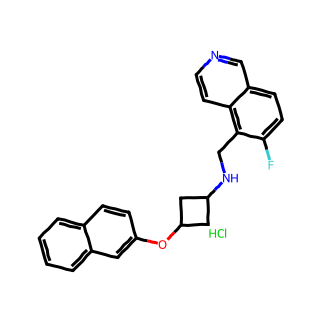 Cl.Fc1ccc2cnccc2c1CNC1CC(Oc2ccc3ccccc3c2)C1